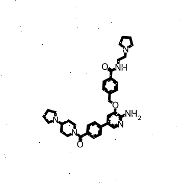 Nc1ncc(-c2ccc(C(=O)N3CCC(N4CCCC4)CC3)cc2)cc1OCc1ccc(C(=O)NCCN2CCCC2)cc1